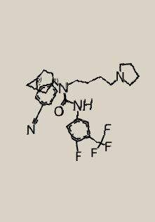 N#Cc1cccc([C@]23CC[C@@H](N(CCCCN4CCCC4)C(=O)Nc4ccc(F)c(C(F)(F)F)c4)CC2C3)c1